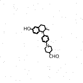 C[C@@H]1CCc2cc(O)ccc2[C@@H]1c1ccc(N2CCC(C=O)CC2)cc1